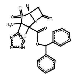 CC1(C(=O)OC(c2ccccc2)c2ccccc2)N2C(=O)C[C@H]2S(=O)(=O)C1(C)c1c[nH]nn1